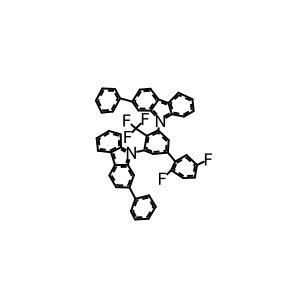 Fc1ccc(F)c(-c2cc(-n3c4ccccc4c4ccc(-c5ccccc5)cc43)c(C(F)(F)F)c(-n3c4ccccc4c4ccc(-c5ccccc5)cc43)c2)c1